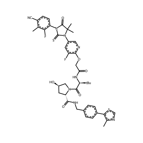 Cc1ncsc1-c1ccc(CNC(=O)[C@@H]2C[C@@H](O)CN2C(=O)[C@@H](NC(=O)COc2ncc(N3C(=S)N(c4ccc(C#N)c(C)c4F)C(=O)C3(C)C)cc2F)C(C)(C)C)cc1